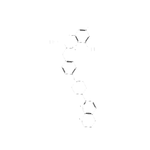 CCc1cc(Cl)cc(C)c1NC(Cc1ccc(N2CCC(c3ccc4c(n3)NCCC4)CC2)cc1)C(=O)O